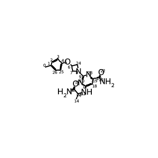 Cc1ccc(OC2CN(c3nc(N[C@@H](C)C(N)=O)cc(C(N)=O)n3)C2)cc1